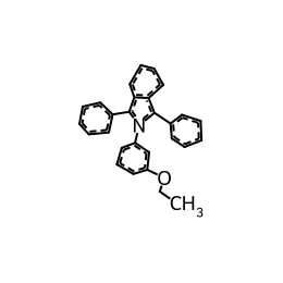 CCOc1cccc(-n2c(-c3ccccc3)c3ccccc3c2-c2ccccc2)c1